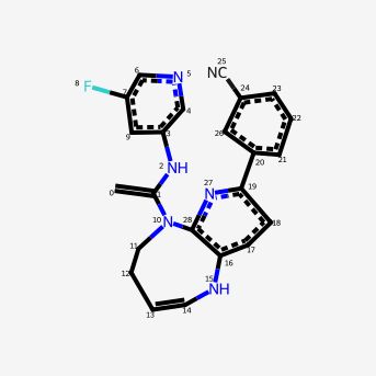 C=C(Nc1cncc(F)c1)N1CC/C=C\Nc2ccc(-c3cccc(C#N)c3)nc21